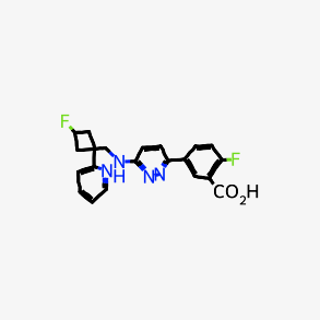 O=C(O)c1cc(-c2ccc(NCC3(c4ccccn4)CC(F)C3)nn2)ccc1F